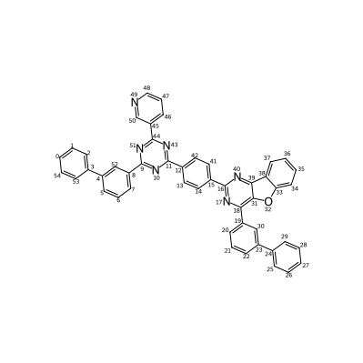 c1ccc(-c2cccc(-c3nc(-c4ccc(-c5nc(-c6cccc(-c7ccccc7)c6)c6oc7ccccc7c6n5)cc4)nc(-c4cccnc4)n3)c2)cc1